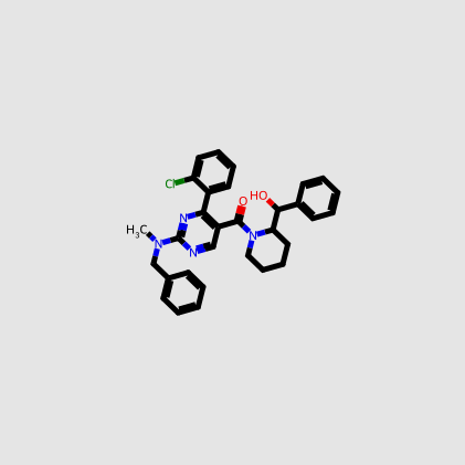 CN(Cc1ccccc1)c1ncc(C(=O)N2CCCCC2C(O)c2ccccc2)c(-c2ccccc2Cl)n1